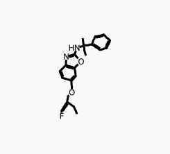 CC/C(=C\F)COc1ccc2nc(NC(C)(C)c3ccccc3)oc2c1